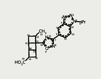 CC(C)n1nnc2cc(-c3noc(C45C(C)C6C4C4C5CC64C(=O)O)n3)ccc21